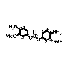 COc1cc(OBOc2ccc(N)c(OC)c2)ccc1N